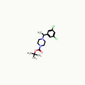 CC(c1cc(Cl)cc(Cl)c1)N1CCN(C(=O)OC(C)(C)C)CC1